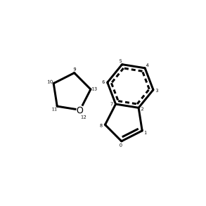 C1=Cc2ccccc2C1.C1CCOC1